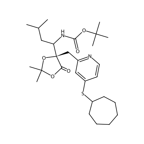 CC(C)CC(NC(=O)OC(C)(C)C)[C@@]1(Cc2cc(SC3CCCCCC3)ccn2)OC(C)(C)OC1=O